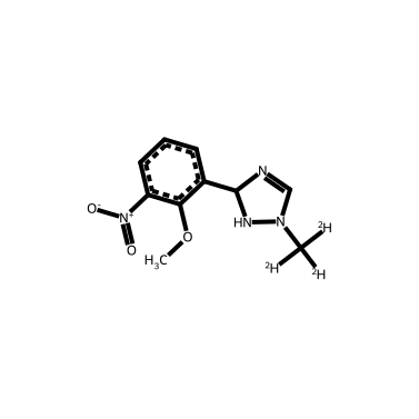 [2H]C([2H])([2H])N1C=NC(c2cccc([N+](=O)[O-])c2OC)N1